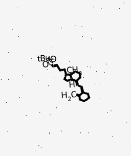 C=C1CCCC/C1=C/C=C1\CCC[C@]2(C)C(CC/C=C/S(=O)(=O)C(C)(C)C)CC[C@@H]12